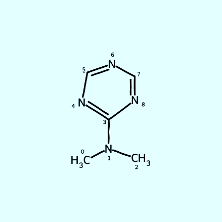 CN(C)c1n[c]ncn1